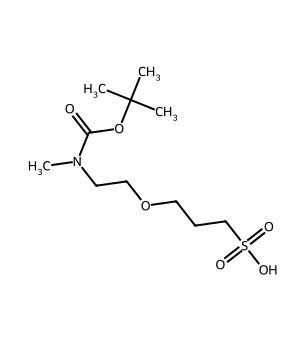 CN(CCOCCCS(=O)(=O)O)C(=O)OC(C)(C)C